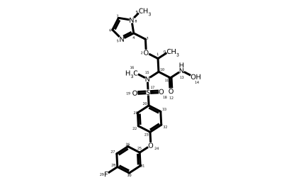 CC(OCc1nccn1C)C(C(=O)NO)N(C)S(=O)(=O)c1ccc(Oc2ccc(F)cc2)cc1